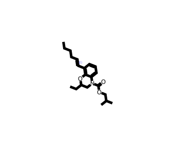 CCCC/C=C/c1cccc2c1OC(CC)CN2C(=O)OCC(C)C